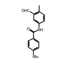 Cc1ccc(NC(=O)c2ccc(C(C)(C)C)cc2)cc1C=O